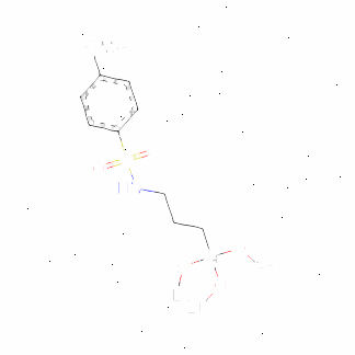 CCO[Si](CCCNS(=O)(=O)c1ccc(OC)cc1)(OCC)OCC